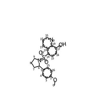 COc1ccc(C2CCCN2S(=O)(=O)c2ccc(O)c3ncccc23)cc1